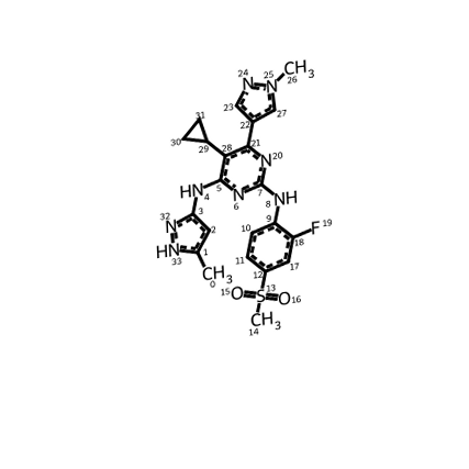 Cc1cc(Nc2nc(Nc3ccc(S(C)(=O)=O)cc3F)nc(-c3cnn(C)c3)c2C2CC2)n[nH]1